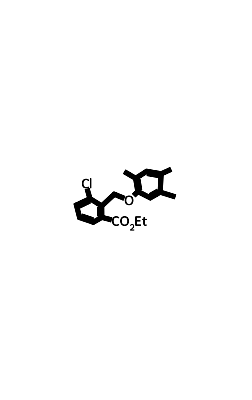 CCOC(=O)c1cccc(Cl)c1COc1cc(C)c(C)cc1C